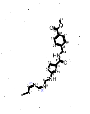 CC/C=N\C=N/CNc1nc(C(=O)NCc2ccc(C(=O)OC)cc2)cs1